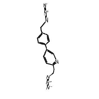 [N-]=[N+]=NCc1ccc(-c2ccc(CN=[N+]=[N-])nc2)cc1